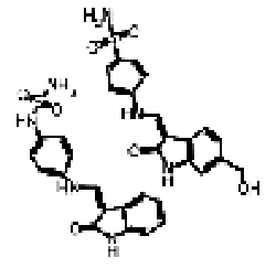 NS(=O)(=O)Nc1ccc(NC=C2C(=O)Nc3ccccc32)cc1.NS(=O)(=O)c1ccc(NC=C2C(=O)Nc3cc(CO)ccc32)cc1